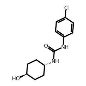 O=C(Nc1ccc(Cl)cc1)N[C@H]1CC[C@H](O)CC1